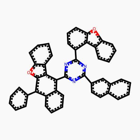 c1ccc(-c2c3ccccc3c(-c3nc(-c4ccc5ccccc5c4)nc(-c4cccc5oc6ccccc6c45)n3)c3c2oc2ccccc23)cc1